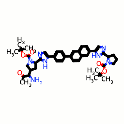 CC(=O)C(N)C1CC(c2ncc(-c3ccc(-c4ccc5cc(-c6cnc(C7CCCN7C(=O)OC(C)(C)C)[nH]6)ccc5c4)cc3)[nH]2)N(C(=O)OC(C)(C)C)C1